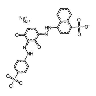 O=c1cc/c(=N\Nc2ccc(S(=O)(=O)[O-])c3ccccc23)c(=O)/c1=N\Nc1ccc(S(=O)(=O)[O-])cc1.[Na+].[Na+]